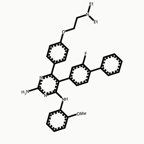 CCN(CC)CCOc1ccc(-c2nc(N)nc(Nc3ccccc3OC)c2-c2ccc(-c3ccccc3)c(F)c2)cc1